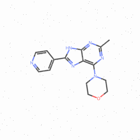 Cc1nc(N2CCOCC2)c2nc(-c3ccncc3)[nH]c2n1